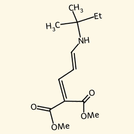 CCC(C)(C)NC=CC=C(C(=O)OC)C(=O)OC